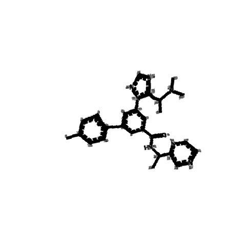 Cc1ccc(-c2cc(C(=O)NC(C)c3cnccn3)cc(-n3ncnc3C(C)N(C)C)c2)cc1